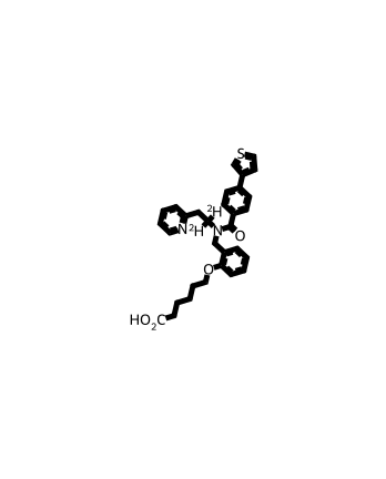 [2H]C([2H])(Cc1ccccn1)N(Cc1ccccc1OCCCCCC(=O)O)C(=O)c1ccc(-c2ccsc2)cc1